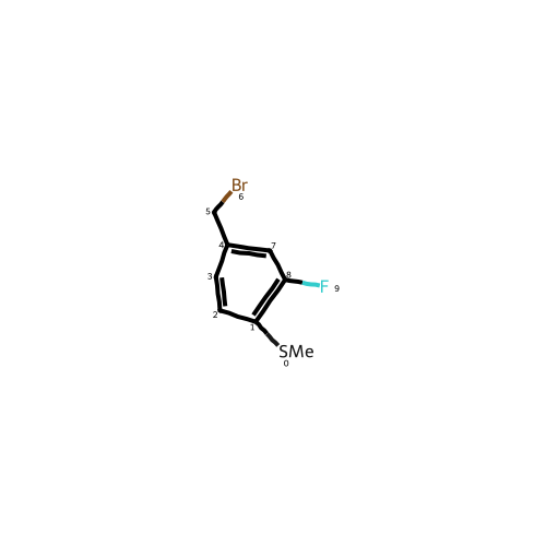 CSc1ccc(CBr)cc1F